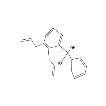 C=CCc1cccc(C(O)(O)c2ccccc2)c1CC=C